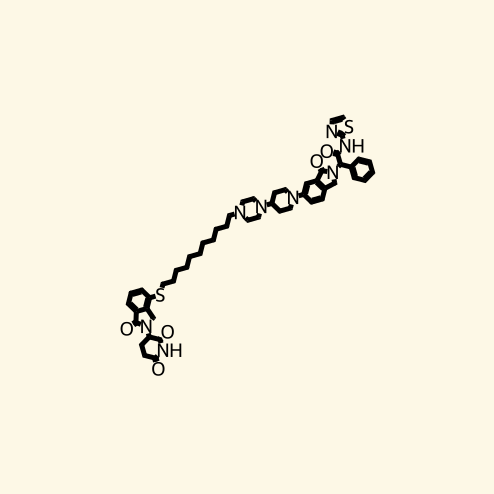 O=C1CCC(N2Cc3c(SCCCCCCCCCCCN4CCN(C5CCN(c6ccc7c(c6)C(=O)N(C(C(=O)Nc6nccs6)c6ccccc6)C7)CC5)CC4)cccc3C2=O)C(=O)N1